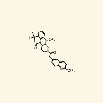 CNc1cccc(C(F)(F)F)c1N(C=O)C1CCN(C(=O)Cc2ccc3nc(C)ccc3c2)CC1